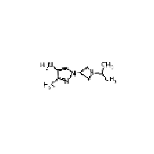 Cc1nn(C2CN(C(C)C)C2)cc1N